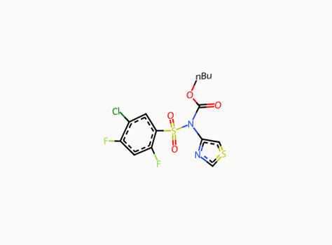 CCCCOC(=O)N(c1cscn1)S(=O)(=O)c1cc(Cl)c(F)cc1F